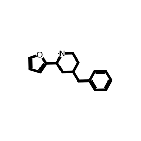 c1ccc(CC2CC[N]C(c3ccco3)C2)cc1